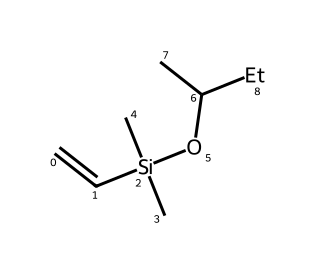 C=C[Si](C)(C)OC(C)CC